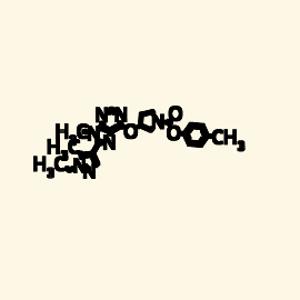 CCn1ncc(-c2nc3c(O[C@H]4CCN(C(=O)Oc5ccc(C)cc5)C4)ncnc3n2C)c1C